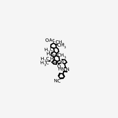 C=C(C)[C@H]1CC[C@@]2(C(=O)N3CCCC3c3ncc(-c4ccc(C#N)cc4)[nH]3)CC[C@@]3(C)[C@@H](CCC4[C@]5(C)CC[C@H](OC(C)=O)C(C)(C)C5CC[C@@]43C)[C@H]12